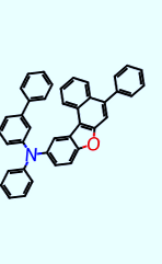 c1ccc(-c2cccc(N(c3ccccc3)c3ccc4oc5cc(-c6ccccc6)c6ccccc6c5c4c3)c2)cc1